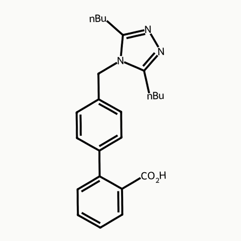 CCCCc1nnc(CCCC)n1Cc1ccc(-c2ccccc2C(=O)O)cc1